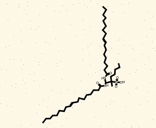 CCCCCCCCC=CCCCCCCCC(=O)NC(NC(=O)CCCCCCCC=CCCCCCCCC)C(C)(CCCCC)S(=O)(=O)O